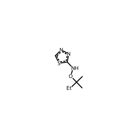 CCC(C)(C)ONc1nncs1